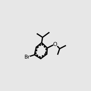 CC(C)Oc1ccc(Br)cc1C(C)C